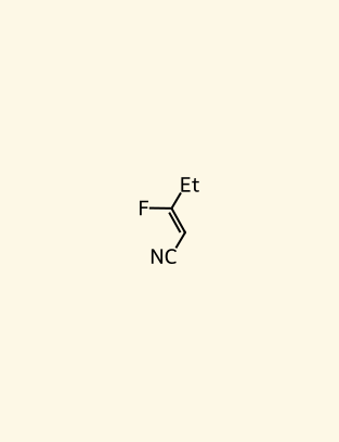 CC/C(F)=C/C#N